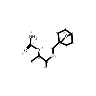 CC(OCC12CCC(CC1)OC2)C(C)OC(N)=O